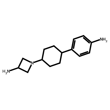 Nc1ccc(C2CCC(N3CC(N)C3)CC2)cc1